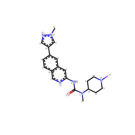 CN(C(=O)Nc1cc2cc(-c3cnn(C)c3)ccc2cn1)C1CCN(I)CC1